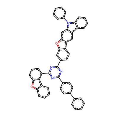 c1ccc(-c2ccc(-c3nc(-c4ccc5c(c4)oc4cc6c(cc45)c4ccccc4n6-c4ccccc4)nc(-c4cccc5oc6ccccc6c45)n3)cc2)cc1